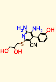 N#Cc1c(SCC(O)CO)nc(N)c(N)c1-c1cccc(O)c1